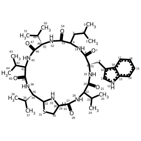 CC(C)CC1NC(=O)[C@H](Cc2c[nH]c3ccccc23)NC(=O)C(C(C)C)NC(=O)[C@@H]2CSC(N2)[C@H](C(C)C)NC(=O)C(C(C)C)NC(=O)[C@H](C(C)C)NC1=O